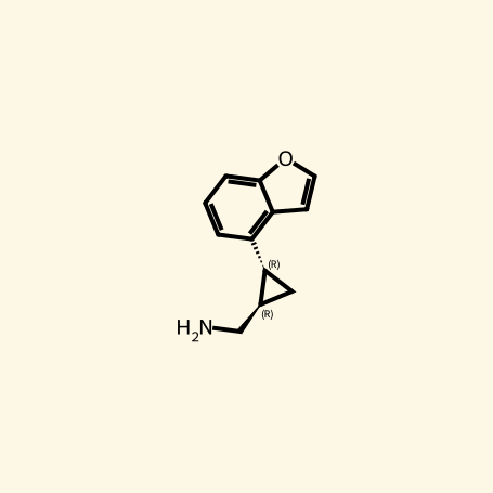 NC[C@@H]1C[C@H]1c1cccc2occc12